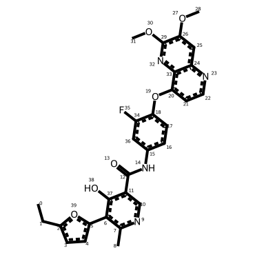 CCc1ccc(-c2c(C)ncc(C(=O)Nc3ccc(Oc4ccnc5cc(OC)c(OC)nc45)c(F)c3)c2O)o1